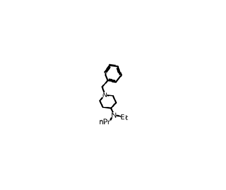 CCCN(CC)C1CCN(Cc2ccccc2)CC1